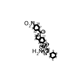 NC1=N[C@@H](c2ccccc2)CN1S(=O)(=O)c1ccc2c(c1)CCN2C(=O)c1ccc([N+](=O)[O-])cc1